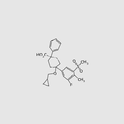 Cc1c(F)cc(C2(OCC3CC3)CCC(C(=O)O)(c3ccccc3)CC2)cc1S(C)(=O)=O